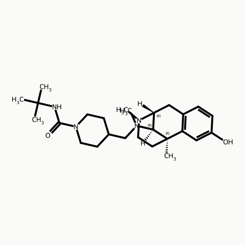 CN1CC[C@]2(C)c3cc(O)ccc3C[C@@H]1[C@@H]2N(C)CC1CCN(C(=O)NC(C)(C)C)CC1